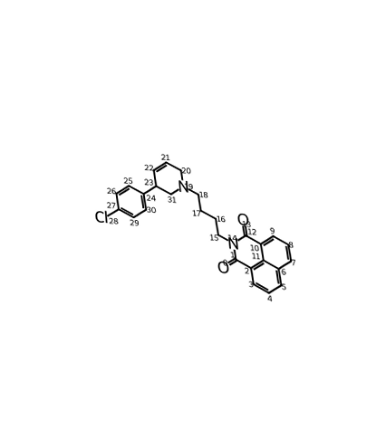 O=C1c2cccc3cccc(c23)C(=O)N1CCCCN1CC=CC(c2ccc(Cl)cc2)C1